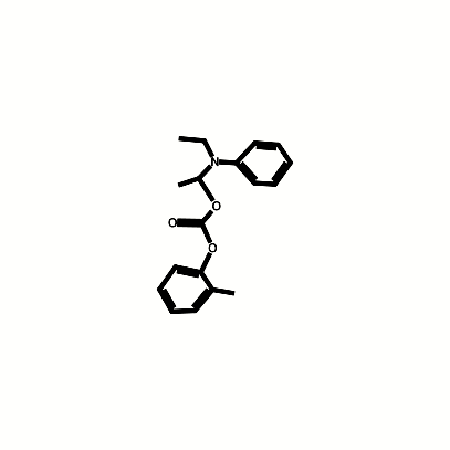 CCN(c1ccccc1)C(C)OC(=O)Oc1ccccc1C